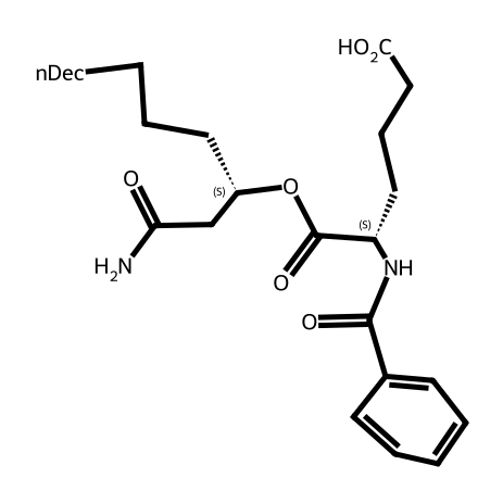 CCCCCCCCCCCCC[C@@H](CC(N)=O)OC(=O)[C@H](CCCC(=O)O)NC(=O)c1ccccc1